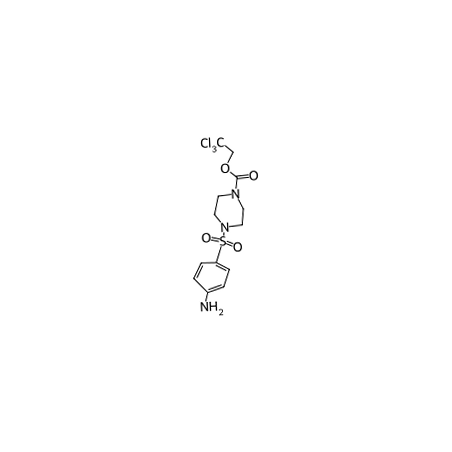 Nc1ccc(S(=O)(=O)N2CCN(C(=O)OCC(Cl)(Cl)Cl)CC2)cc1